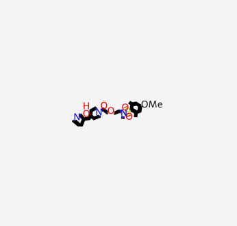 COc1cc(C)c(S(=O)(=O)N(C)CCOCC(=O)N2CCC(O)(CC3C=NC=CC3)CC2)c(C)c1